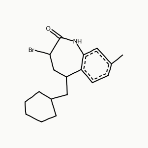 Cc1ccc2c(c1)NC(=O)C(Br)CC2CC1CCCCC1